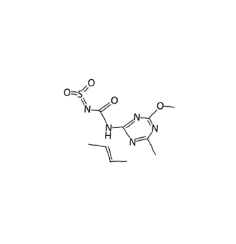 CC=CC.COc1nc(C)nc(NC(=O)N=S(=O)=O)n1